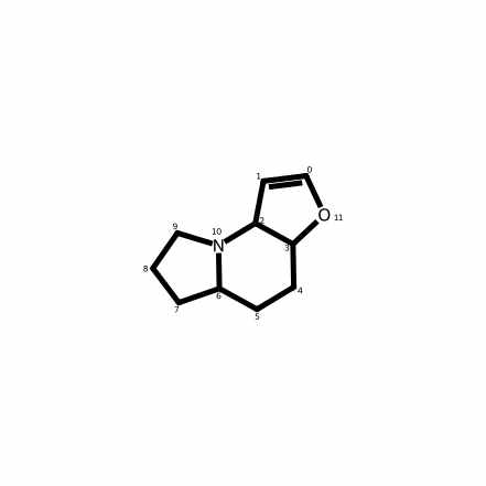 C1=CC2C(CCC3CCCN32)O1